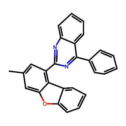 Cc1cc(-c2nc(-c3ccccc3)c3ccccc3n2)c2c(c1)oc1ccccc12